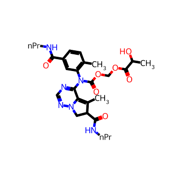 CCCNC(=O)c1ccc(C)c(N(C(=O)OCOC(=O)C(C)O)C2=NC=NN3CC(C(=O)NCCC)C(C)=C23)c1